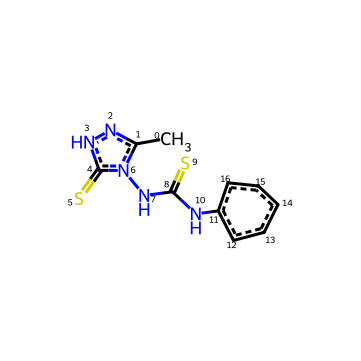 Cc1n[nH]c(=S)n1NC(=S)Nc1ccccc1